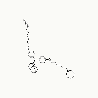 [N-]=[N+]=NCCCCCCOc1ccc(C(=C2C3CC4CC(C3)CC2C4)c2ccc(OCCCCCCN3CCCCCC3)cc2)cc1